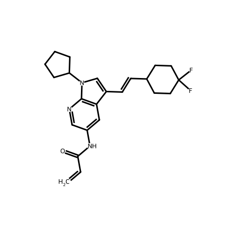 C=CC(=O)Nc1cnc2c(c1)c(C=CC1CCC(F)(F)CC1)cn2C1CCCC1